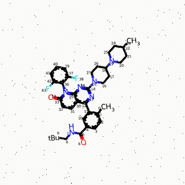 Cc1ccc(C(=O)NCC(C)(C)C)cc1-c1nc(N2CCC(N3CCC(C)CC3)CC2)nc2c1ccc(=O)n2-c1c(F)cccc1F